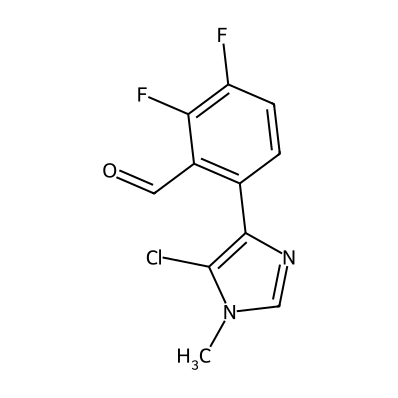 Cn1cnc(-c2ccc(F)c(F)c2C=O)c1Cl